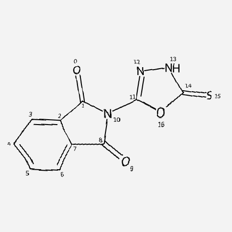 O=C1c2ccccc2C(=O)N1c1n[nH]c(=S)o1